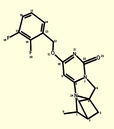 CC1C2CC3(C2)Cn2c(cc(OCc4cccc(F)c4F)nc2=O)N13